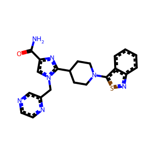 NC(=O)c1cn(Cc2cnccn2)c(C2CCN(c3snc4ccccc34)CC2)n1